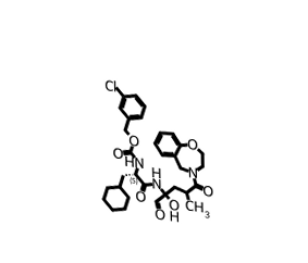 CC(CC(O)(C=O)NC(=O)[C@H](CC1CCCCC1)NC(=O)OCc1cccc(Cl)c1)C(=O)N1CCOc2ccccc2C1